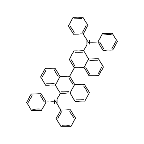 c1ccc(N(c2ccccc2)c2ccc(-c3c4ccccc4c(N(c4ccccc4)c4ccccc4)c4ccccc34)c3ccccc23)cc1